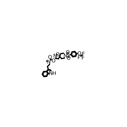 CN(CCc1c[nH]c2ccccc12)C(=O)OC1=NOC2(CCN(S(=O)(=O)c3ccc(OC(F)(F)F)cc3)CC2)C1